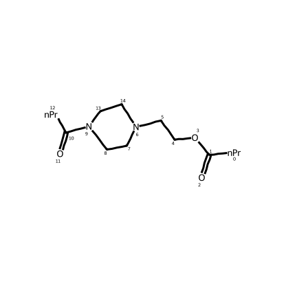 CCCC(=O)OCCN1CCN(C(=O)CCC)CC1